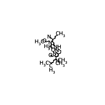 CC/C=C/C(C#N)=C(\C=C(/C)NC(=O)N1CCCc2cc(/C(=C/C=C(/C)CC)N(C)C)c(C=O)nc21)NCCOC